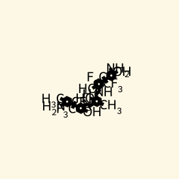 Cc1cc(CNc2cc(C(c3ccc(C)c(N)c3)(C(F)(F)F)C(F)(F)F)ccc2O)c(O)c(CNc2cc(C(c3ccc(O)c(N)c3)(C(F)(F)F)C(F)(F)F)ccc2O)c1